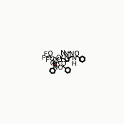 N#CC1(c2ccc3c(NC(=O)c4ccccc4)ncnn23)OC(COC(=O)C(F)(F)F)(N=[N+]=[N-])C(OC(=O)c2ccccc2)C1OC(=O)c1ccccc1